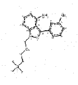 C[Si](C)(C)CCOCn1nc(-c2ccnc(N)n2)c2c(N)ncnc21